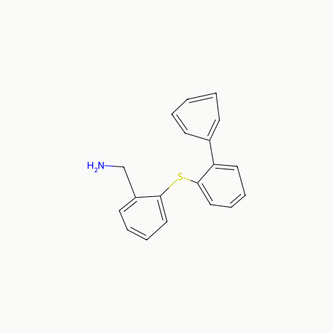 NCc1ccccc1Sc1ccccc1-c1ccccc1